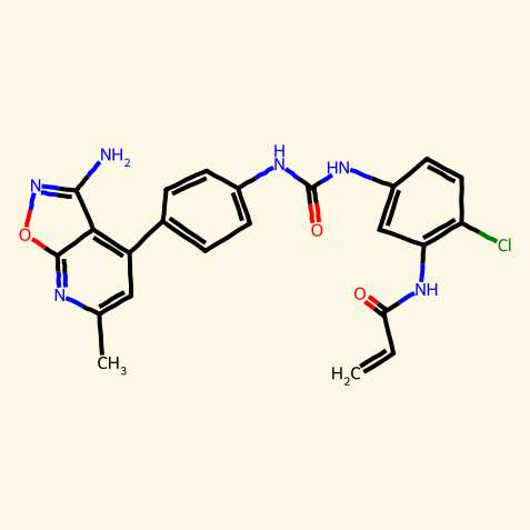 C=CC(=O)Nc1cc(NC(=O)Nc2ccc(-c3cc(C)nc4onc(N)c34)cc2)ccc1Cl